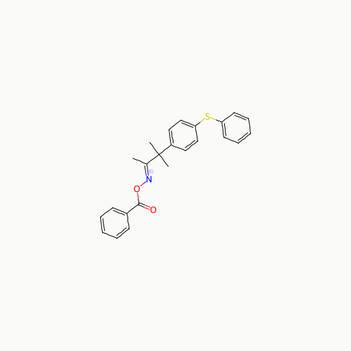 C/C(=N\OC(=O)c1ccccc1)C(C)(C)c1ccc(Sc2ccccc2)cc1